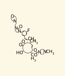 C/C(=C\c1cc(F)cc(N2CCN(CCN3CCOCC3)C2=O)c1)[C@H]1C(=O)C(=O)C[C@H](O)CC[C@H](C)[C@@H](OC(=O)N2CCN(C)CC2)/C=C/[C@@H]1C